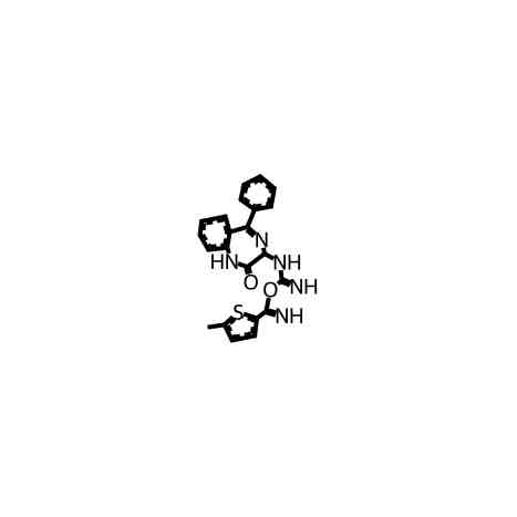 Cc1ccc(C(=N)OC(=N)NC2N=C(c3ccccc3)c3ccccc3NC2=O)s1